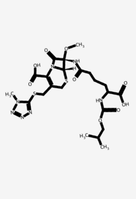 CO[C@@]1(NC(=O)CCCC(NC(=O)OCC(C)C)C(=O)O)C(=O)N2C(C(=O)O)=C(CSc3nnnn3C)CS[C@H]21